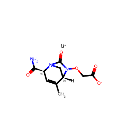 CC1=C[C@@H](C(N)=O)N2C[C@@H]1N(OCC(=O)[O-])C2=O.[Li+]